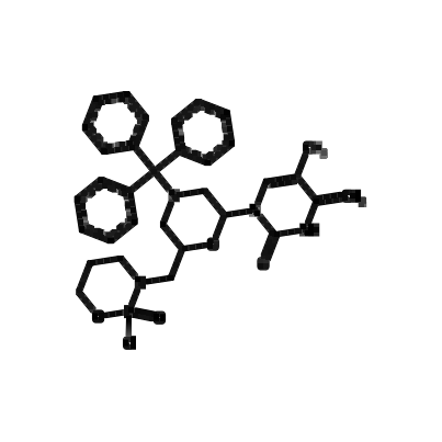 C=C1NC(=O)N(C2CN(C(c3ccccc3)(c3ccccc3)c3ccccc3)CC(CN3CCCOP3(=O)Cl)O2)C=C1C